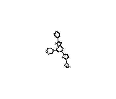 c1cc(-c2cc3nc(-n4ccc(C5CNC5)n4)cc(N4CCOCC4)n3n2)ccn1